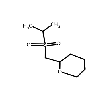 CC(C)S(=O)(=O)CC1CCCCO1